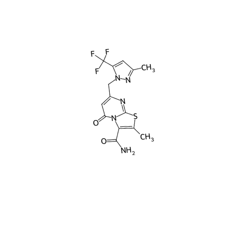 Cc1cc(C(F)(F)F)n(Cc2cc(=O)n3c(C(N)=O)c(C)sc3n2)n1